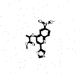 COC(=O)C(C)Oc1cc(-c2cncs2)nc2ccc([N+](=O)[O-])cc12